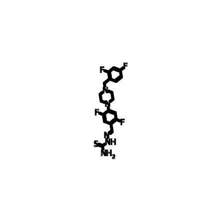 NC(=S)NN=Cc1cc(F)c(N2CCN(Cc3ccc(F)cc3F)CC2)cc1F